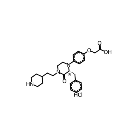 Cl.O=C(O)COc1ccc(N2CCN(CCC3CCNCC3)C(=O)[C@H]2Cc2ccccc2)cc1